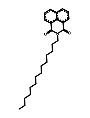 CCCCCCCCCCCCCCN1C(=O)c2cccc3cccc(c23)C1=O